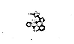 CCc1nc(-c2ncn3c2C(C)(C)N(C(=O)N2CCCC2)c2c(Cl)cccc2-3)no1